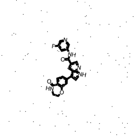 O=C(Nc1cncc(F)c1)c1cnc2[nH]cc(-c3ccc4c(c3)OCCNC4=O)c2c1